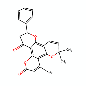 CCCc1cc(=O)oc2c3c(c4c(c12)OC(C)(C)C=C4)OC(c1ccccc1)CC3=O